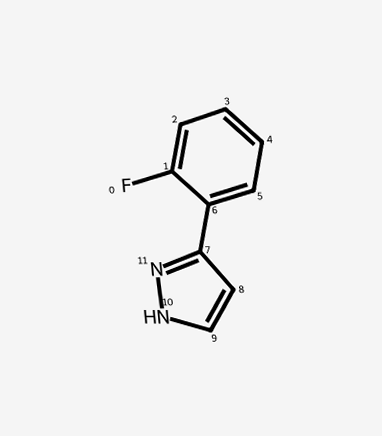 Fc1ccccc1-c1cc[nH]n1